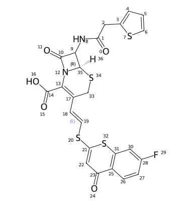 O=C(Cc1cccs1)NC1C(=O)N2C(C(=O)O)=C(/C=C/Sc3cc(=O)c4ccc(F)cc4s3)CS[C@H]12